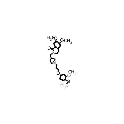 COc1ccc(OCCCN2CCC(CN3CCc4cc(OC)c(OC)cc4C3=O)C2)cc1OC